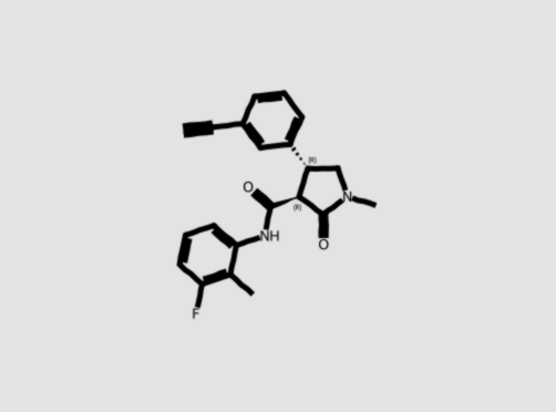 C#Cc1cccc([C@@H]2CN(C)C(=O)[C@H]2C(=O)Nc2cccc(F)c2C)c1